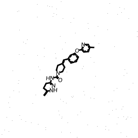 C=C1CCC(NC(=O)N2CCC(=Cc3cccc(Oc4ccc(C)cn4)c3)CC2)=NN1